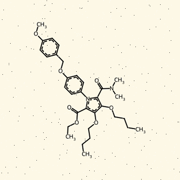 CCCCOc1c(OCCCC)c(C(=O)N(C)C)n(-c2ccc(OCc3ccc(OC)cc3)cc2)c1C(=O)OCC